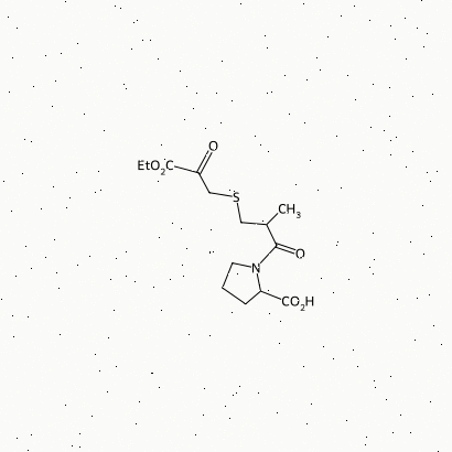 CCOC(=O)C(=O)CSCC(C)C(=O)N1CCCC1C(=O)O